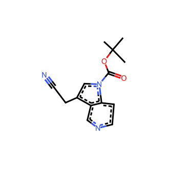 CC(C)(C)OC(=O)n1cc(CC#N)c2cnccc21